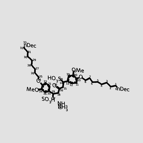 CCCCCCCCCCCCCCCCCCOc1ccc(C(CC(=O)CC(c2ccc(OCCCCCCCCCCCCCCCCCC)c(OC)c2)S(=O)(=O)O)S(=O)(=O)O)cc1OC.N.N